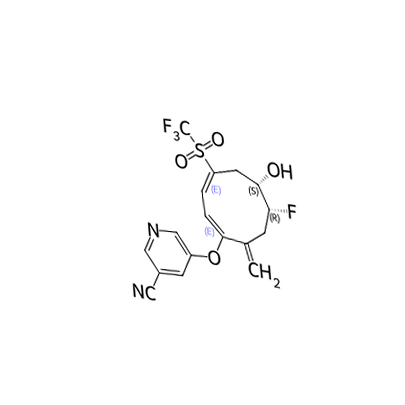 C=C1C[C@@H](F)[C@@H](O)C/C(S(=O)(=O)C(F)(F)F)=C\C=C/1Oc1cncc(C#N)c1